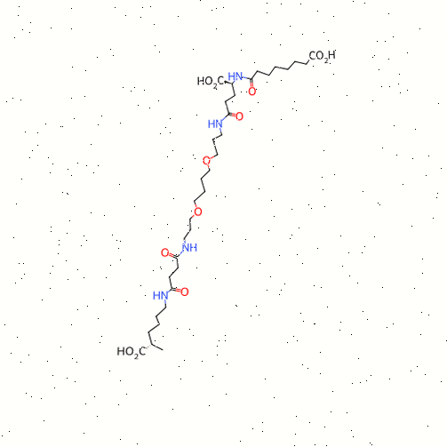 C[C@@H](CCCCNC(=O)CCC(=O)NCCCOCCCCOCCCNC(=O)CC[C@H](NC(=O)CCCCCCC(=O)O)C(=O)O)C(=O)O